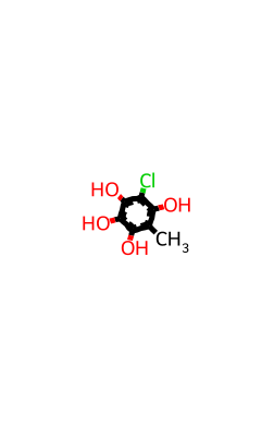 Cc1c(O)c(O)c(O)c(Cl)c1O